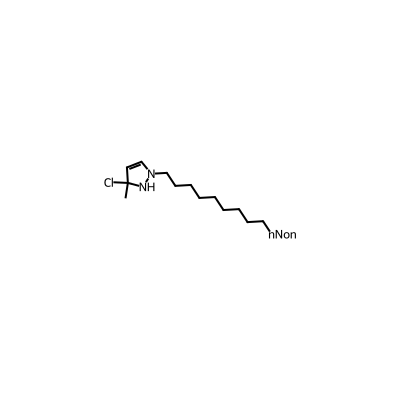 CCCCCCCCCCCCCCCCCCN1C=CC(C)(Cl)N1